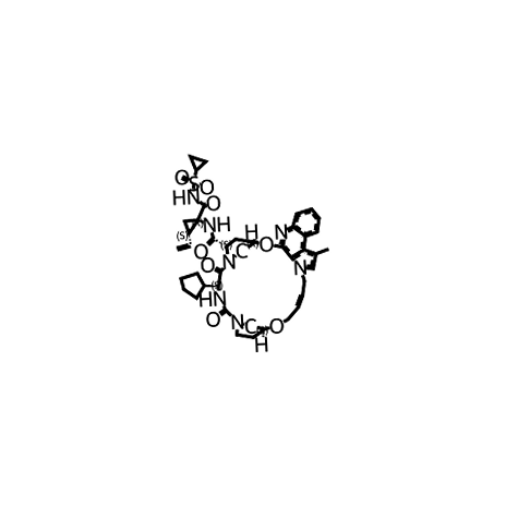 C=C[C@@H]1C[C@]1(NC(=O)[C@@H]1C[C@@H]2CN1C(=O)[C@H](C1CCCC1)NC(=O)N1CC[C@@H](C1)OCC=CCn1cc(C)c3c4ccccc4nc(c31)O2)C(=O)NS(=O)(=O)C1CC1